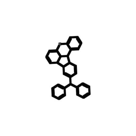 C1=CC2C3C=C(C(c4ccccc4)c4ccccc4)C=CC3C3c4ccccc4OC(=C1)C23